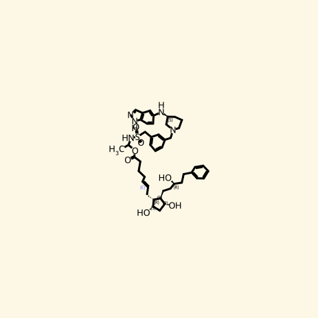 CC(NS(=O)(=O)Cc1cccc(CN2CCC[C@H](Nc3ccc4[nH]ncc4c3)C2)c1)OC(=O)CCC/C=C/C[C@@H]1[C@@H](CC[C@@H](O)CCc2ccccc2)[C@H](O)C[C@@H]1O